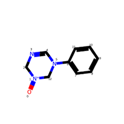 O=[N+]1CN=CN(c2ccccc2)C1